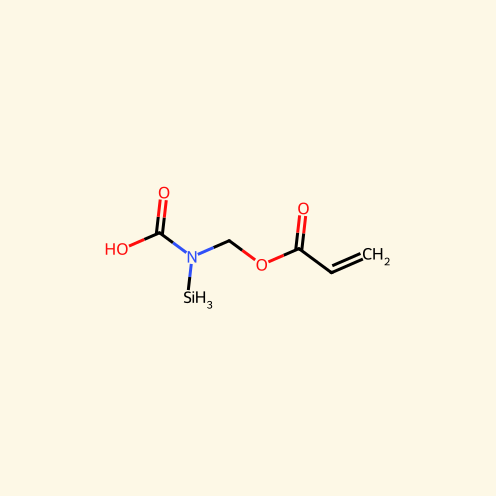 C=CC(=O)OCN([SiH3])C(=O)O